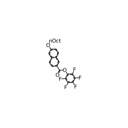 CCCCCCCCOc1ccc2cc(C(=O)Oc3c(F)c(F)c(F)c(F)c3F)ccc2c1